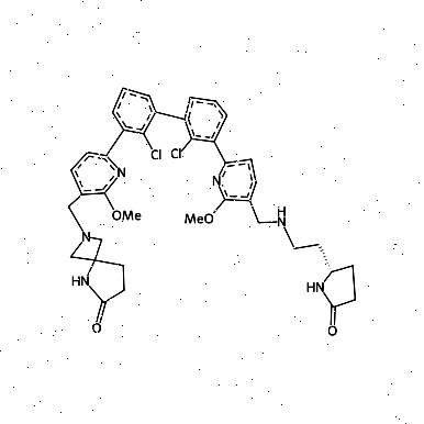 COc1nc(-c2cccc(-c3cccc(-c4ccc(CN5CC6(CCC(=O)N6)C5)c(OC)n4)c3Cl)c2Cl)ccc1CNCC[C@@H]1CCC(=O)N1